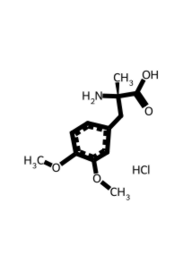 COc1ccc(C[C@](C)(N)C(=O)O)cc1OC.Cl